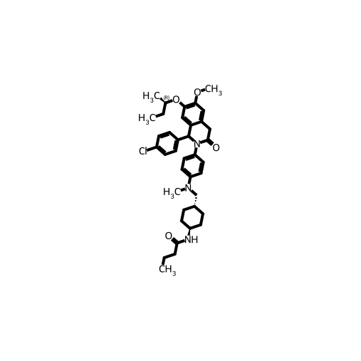 CCCC(=O)N[C@H]1CC[C@H](CN(C)c2ccc(N3C(=O)Cc4cc(OC)c(O[C@H](C)CC)cc4C3c3ccc(Cl)cc3)cc2)CC1